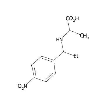 CCC(NC(C)C(=O)O)c1ccc([N+](=O)[O-])cc1